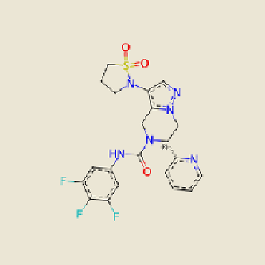 O=C(Nc1cc(F)c(F)c(F)c1)N1Cc2c(N3CCCS3(=O)=O)cnn2C[C@@H]1c1ccccn1